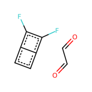 Fc1c2ccc-2c1F.O=CC=O